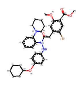 COC(=O)c1cc(Br)c(CC(=O)N(Nc2ccc(OC3CCCCC3)cc2)c2ccccc2N2CCCCC2)cc1OC